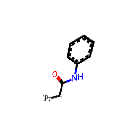 CC(C)[CH]C(=O)Nc1ccccc1